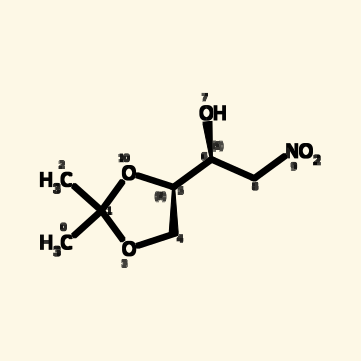 CC1(C)OC[C@H]([C@@H](O)C[N+](=O)[O-])O1